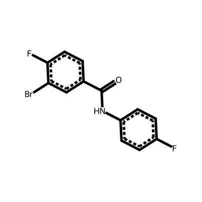 O=C(Nc1ccc(F)cc1)c1ccc(F)c(Br)c1